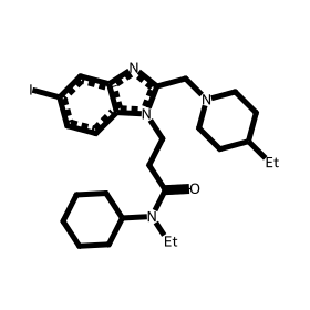 CCC1CCN(Cc2nc3cc(I)ccc3n2CCC(=O)N(CC)C2CCCCC2)CC1